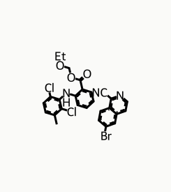 CCOCOC(=O)c1ccccc1Nc1c(Cl)ccc(C)c1Cl.N#Cc1nccc2cc(Br)ccc12